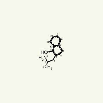 CC(N)Cc1ccc2ccccc2c1O